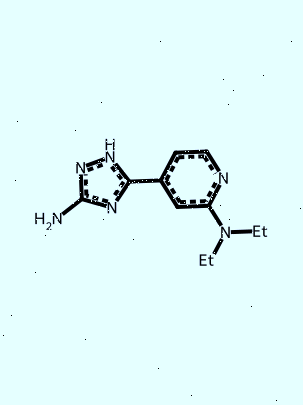 CCN(CC)c1cc(-c2nc(N)n[nH]2)ccn1